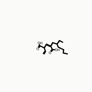 C=CC(C=C(CC(CC)CCCC)C(=O)O)C(=O)O